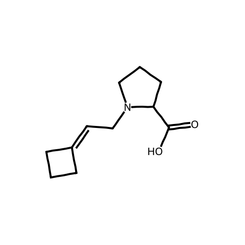 O=C(O)C1CCCN1CC=C1CCC1